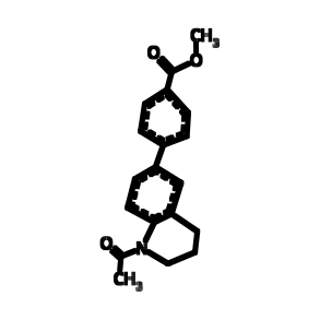 COC(=O)c1ccc(-c2ccc3c(c2)CCCN3C(C)=O)cc1